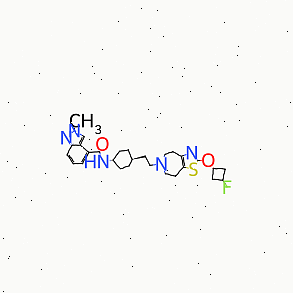 Cn1cc2c(C(=O)N[C@H]3CC[C@H](CCN4CCc5nc(O[C@H]6C[C@H](F)C6)sc5CC4)CC3)cccc2n1